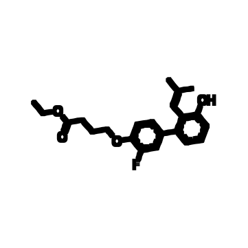 CCOC(=O)CCCOc1ccc(-c2cccc(O)c2C=C(C)C)cc1F